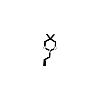 C=CCB1OCC(C)(C)CO1